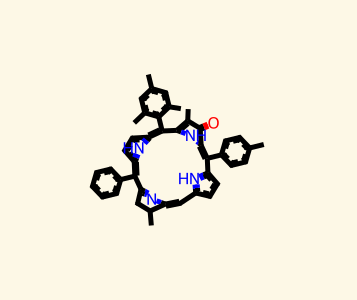 CC1=C2NC(=C(c3ccc(C)cc3)c3ccc([nH]3)C=C3N=C(CC3C)C(c3ccccc3)=c3ccc([nH]3)=C2c2c(C)cc(C)cc2C)C1=O